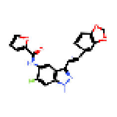 O=C(Nc1cc2c(/C=C/c3ccc4c(c3)OCO4)n[nH]c2cc1F)c1ccco1